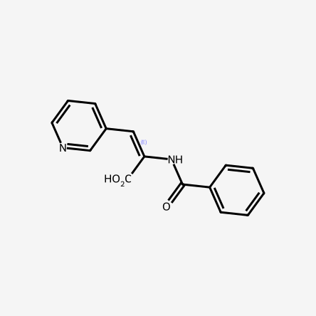 O=C(O)/C(=C\c1cccnc1)NC(=O)c1ccccc1